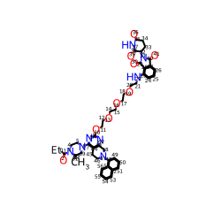 CCC(=O)N1CCN(c2nc(OCCOCCOCCOCCNc3cccc4c3C(=O)N(C3CCC(=O)NC3=O)C4=O)nc3c2CCN(c2cccc4ccccc24)C3)C[C@H]1C